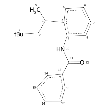 CC(CC(C)(C)C)c1ccccc1NC(=O)c1ccccc1